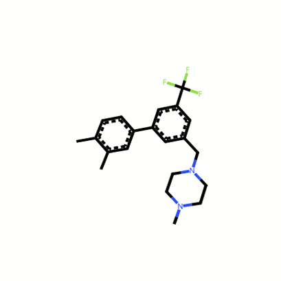 Cc1ccc(-c2cc(CN3CCN(C)CC3)cc(C(F)(F)F)c2)cc1C